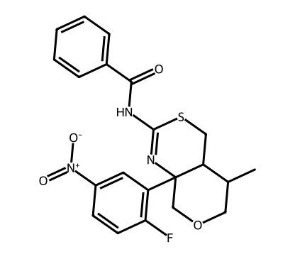 CC1COCC2(c3cc([N+](=O)[O-])ccc3F)N=C(NC(=O)c3ccccc3)SCC12